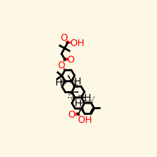 CC1=CC[C@]2(C(=O)O)CC[C@]3(C)[C@H](CC[C@@H]4[C@@]5(C)CCC(OC(=O)CC(C)(C)C(=O)O)C(C)(C)[C@@H]5CC[C@]43C)[C@H]2[C@@H]1C